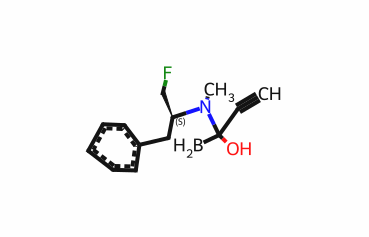 BC(O)(C#C)N(C)[C@H](CF)Cc1ccccc1